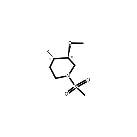 CO[C@H]1CN(S(C)(=O)=O)CC[C@@H]1C